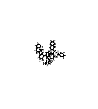 C/C=C(/C1=NC(c2ccccc2)NC(c2ccc3ccccc3c2)N1)c1c(N)oc2c(-c3cccc4c3oc3c5ccccc5ccc43)cccc12